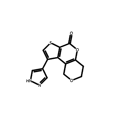 O=c1oc2c(c3c(-c4cn[nH]c4)csc13)COCC2